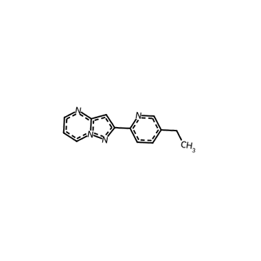 CCc1ccc(-c2cc3ncccn3n2)nc1